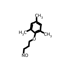 Cc1cc(C)c(OCCCN=O)c(C)c1